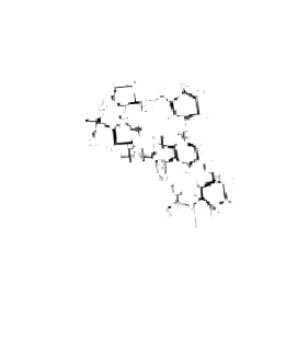 CC(=O)Nc1cc(Oc2cnc3nc(Nc4cc(C(C)(C)C)n([C@H]5CCCC5OCc5ccccc5)n4)n(C)c3c2)ccn1